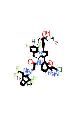 CC(C)(O)C#Cc1ccc(-c2cccc3c2oc2c(Cl)n[nH]c23)c([C@H](Cc2cc(F)cc(F)c2)NC(=O)Cn2nc(C(F)F)c3c2C(F)(F)[C@@H]2C#C[C@H]32)n1